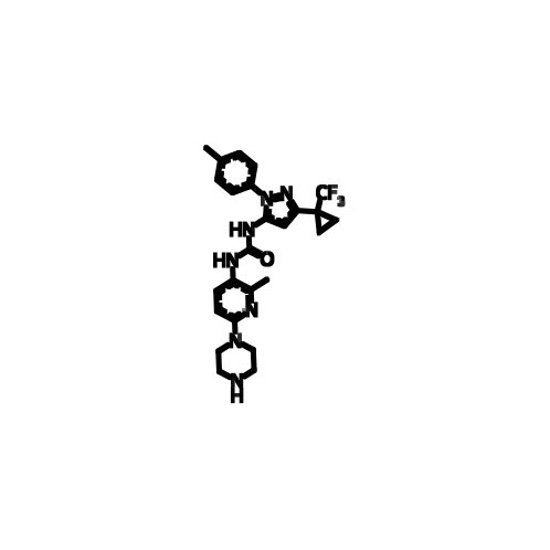 Cc1ccc(-n2nc(C3(C(F)(F)F)CC3)cc2NC(=O)Nc2ccc(N3CCNCC3)nc2C)cc1